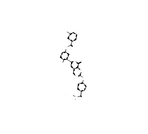 Cc1cccc(C(=O)Nc2ccc(C)c(-c3cc4cnc(Nc5ccc(C(=O)N(C)C)cc5)nc4c(=O)n3C)c2)c1